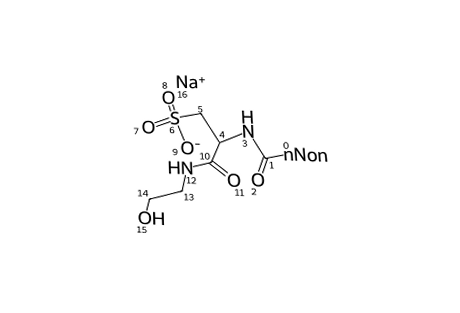 CCCCCCCCCC(=O)NC(CS(=O)(=O)[O-])C(=O)NCCO.[Na+]